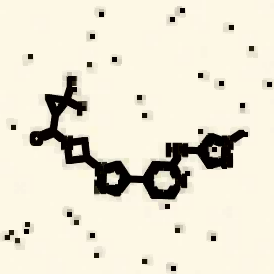 Cn1cc(Nc2cc(-c3cnn(C4CN(C(=O)C5CC5(F)F)C4)c3)ccn2)cn1